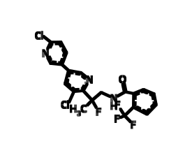 CC(F)(CNC(=O)c1ccccc1C(F)(F)F)c1ncc(-c2ccc(Cl)nc2)cc1Cl